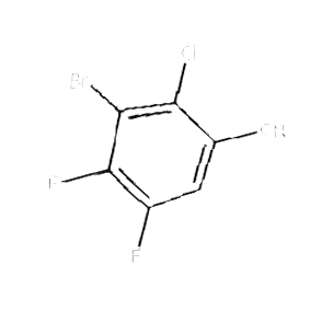 N#Cc1cc(F)c(F)c(Br)c1Cl